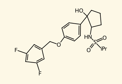 CC(C)S(=O)(=O)NC1CCCC1(O)c1ccc(OCc2cc(F)cc(F)c2)cc1